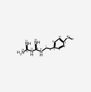 CSc1ccc(CCNC(=N)NC(=N)N)cc1